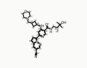 CC(C)(O)[C@H](F)CNC(=O)c1cnc(-c2ccc3cc(C#N)cnn23)cc1NC1CC(CN2CCOCC2)C1